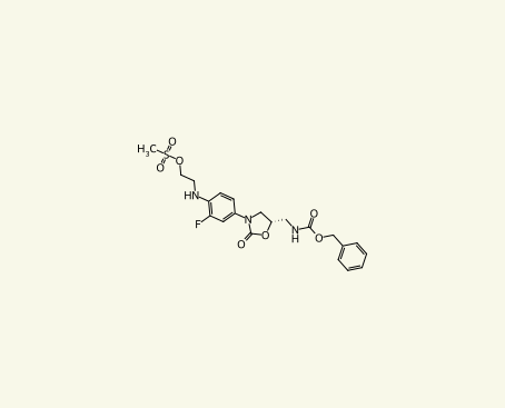 CS(=O)(=O)OCCNc1ccc(N2C[C@H](CNC(=O)OCc3ccccc3)OC2=O)cc1F